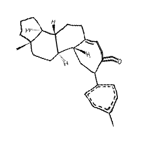 Cc1ccc(C2C[C@H]3C(=CC2=O)CC[C@@H]2[C@@H]3CC[C@]3(C)CCC[C@@H]23)cc1